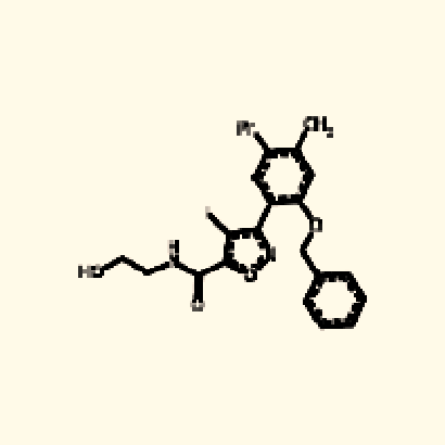 Cc1cc(OCc2ccccc2)c(-c2noc(C(=O)NCCO)c2I)cc1C(C)C